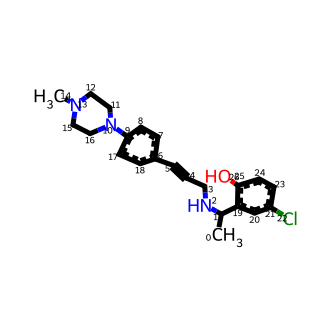 CC(NCC#Cc1ccc(N2CCN(C)CC2)cc1)c1cc(Cl)ccc1O